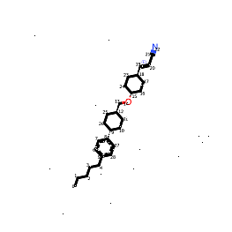 CCCCCc1ccc([C@H]2CC[C@H](CO[C@H]3CC[C@H](/C=C/C#N)CC3)CC2)cc1